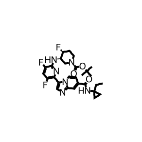 CCC1(NC(=O)c2ccn3c(-c4nc(N[C@H]5CN(C(=O)OC(C)(C)C)CC[C@@H]5F)c(F)cc4F)cnc3c2)CC1